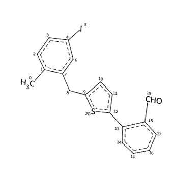 Cc1ccc(I)cc1Cc1ccc(-c2ccccc2C=O)s1